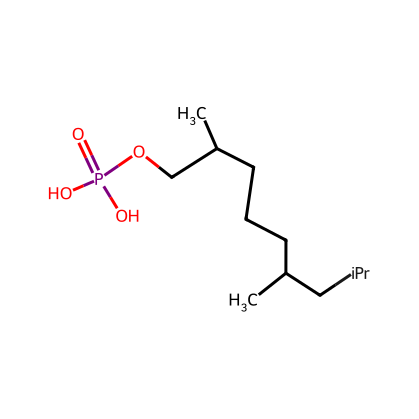 CC(C)CC(C)CCCC(C)COP(=O)(O)O